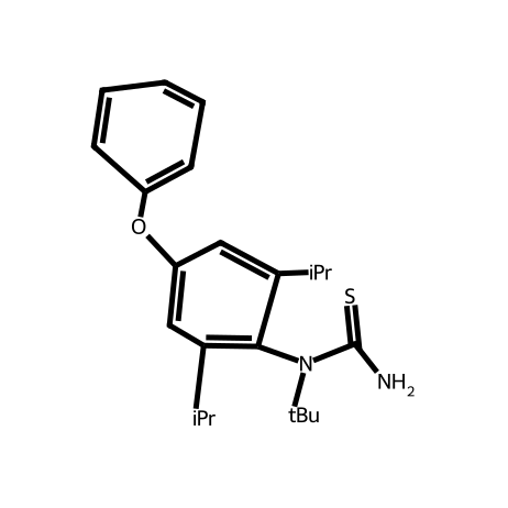 CC(C)c1cc(Oc2ccccc2)cc(C(C)C)c1N(C(N)=S)C(C)(C)C